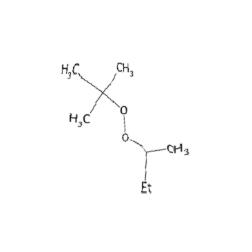 CCC(C)OOC(C)(C)C